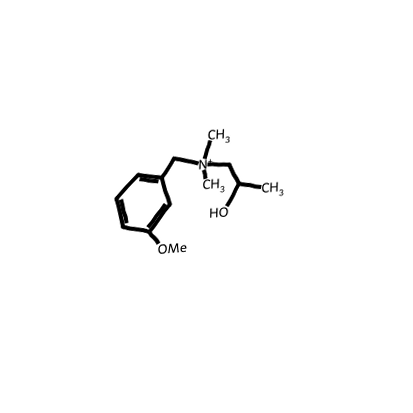 COc1cccc(C[N+](C)(C)CC(C)O)c1